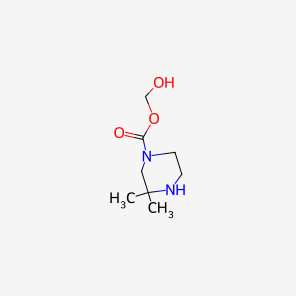 CC1(C)CN(C(=O)OCO)CCN1